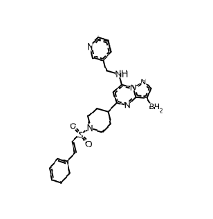 Bc1cnn2c(NCc3cccnc3)cc(C3CCN(S(=O)(=O)/C=C/C4=CC=CCC4)CC3)nc12